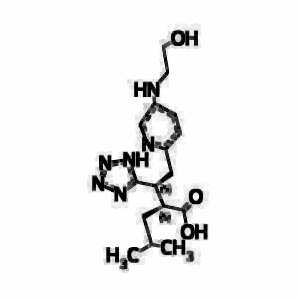 CC(C)C[C@H](C(=O)O)[C@H](Cc1ccc(NCCO)cn1)c1nnn[nH]1